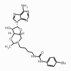 CC1O[C@H]2[C@@H](O)[C@H](n3cnc4c(N)ncnc43)O[C@@H]2CN1CCCCNC(=O)Nc1ccc(C(C)(C)C)cc1